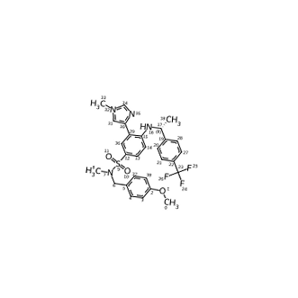 COc1ccc(CN(C)S(=O)(=O)c2ccc(N[C@H](C)c3ccc(C(F)(F)F)cc3)c(-c3cn(C)cn3)c2)cc1